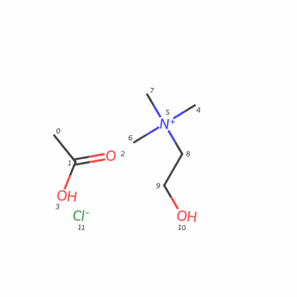 CC(=O)O.C[N+](C)(C)CCO.[Cl-]